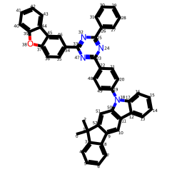 CC1(C)c2ccccc2-c2cc3c4ccccc4n(-c4ccc(-c5nc(-c6ccccc6)nc(-c6ccc7oc8ccccc8c7c6)n5)cc4)c3cc21